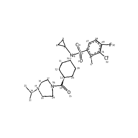 Cc1c(S(=O)(=O)N(C2CC2)[C@H]2CC[C@H](C(=O)N3CCN(C(C)C)CC3)CC2)ccc(F)c1Cl